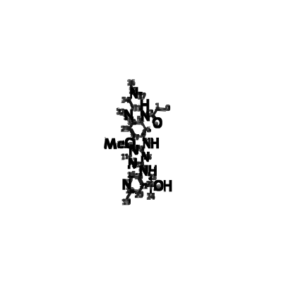 C=CC(=O)Nc1cc(Nc2ncnc(Nc3cnc(C)cc3C(C)(C)O)n2)c(OC)cc1N(C)CCN(C)C